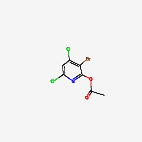 CC(=O)Oc1nc(Cl)cc(Cl)c1Br